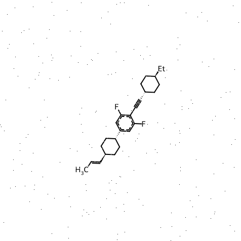 CC=C[C@H]1CC[C@H](c2cc(F)c(C#C[C@H]3CC[C@H](CC)CC3)c(F)c2)CC1